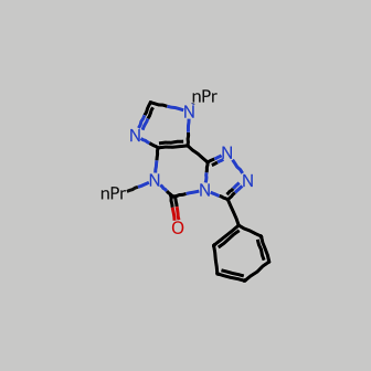 CCCn1cnc2c1c1nnc(-c3ccccc3)n1c(=O)n2CCC